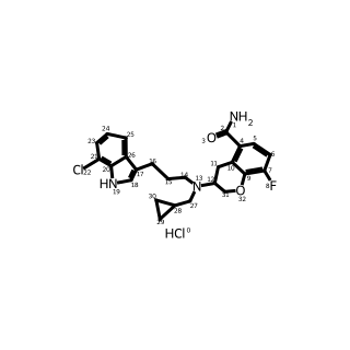 Cl.NC(=O)c1ccc(F)c2c1CC(N(CCCc1c[nH]c3c(Cl)cccc13)CC1CC1)CO2